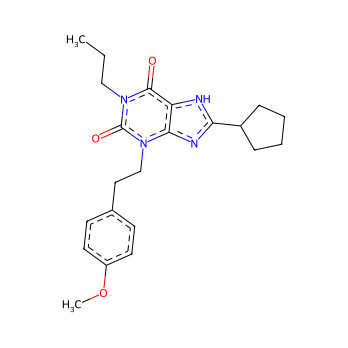 CCCn1c(=O)c2[nH]c(C3CCCC3)nc2n(CCc2ccc(OC)cc2)c1=O